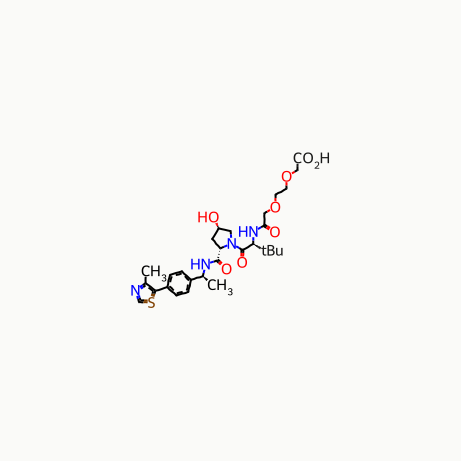 Cc1ncsc1-c1ccc([C@H](C)NC(=O)[C@@H]2C[C@@H](O)CN2C(=O)[C@@H](NC(=O)COCCOCC(=O)O)C(C)(C)C)cc1